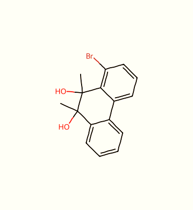 CC1(O)c2ccccc2-c2cccc(Br)c2C1(C)O